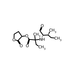 CC[C@H](C)[C@@H](C=O)NC(C)(CC)C(=O)OC1CCOC1=O